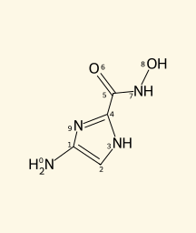 Nc1c[nH]c(C(=O)NO)n1